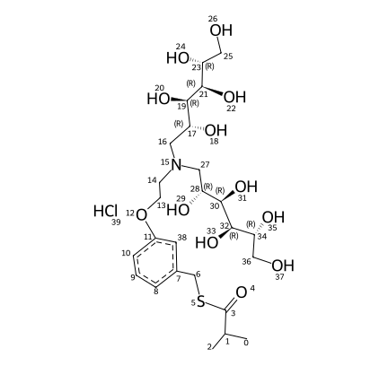 CC(C)C(=O)SCc1cccc(OCCN(C[C@@H](O)[C@@H](O)[C@H](O)[C@H](O)CO)C[C@@H](O)[C@@H](O)[C@H](O)[C@H](O)CO)c1.Cl